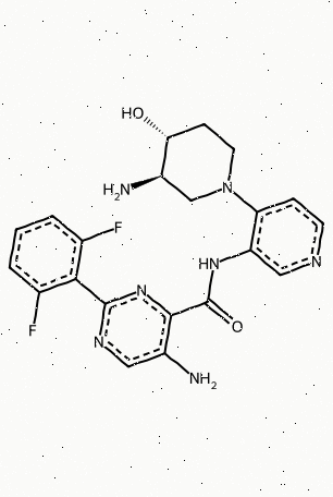 Nc1cnc(-c2c(F)cccc2F)nc1C(=O)Nc1cnccc1N1CC[C@@H](O)[C@H](N)C1